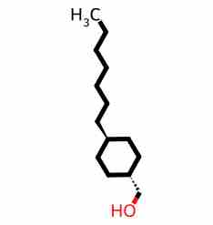 CCCCCCC[C@H]1CC[C@H](CO)CC1